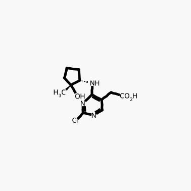 C[C@@]1(O)CCC[C@@H]1Nc1nc(Cl)ncc1CC(=O)O